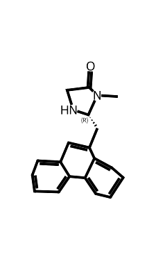 CN1C(=O)CN[C@H]1Cc1cc2ccccc2c2ccccc12